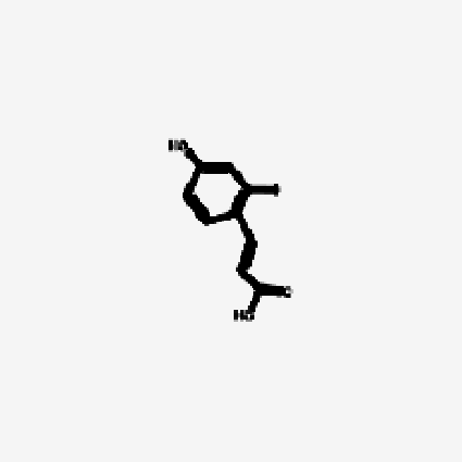 O=C(O)C=Cc1ccc(O)cc1F